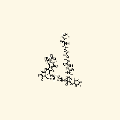 CC[C@@]1(O)C(=O)OCc2c1cc1n(c2=O)Cc2c-1nc1cc(F)c(C)c3c1c2[C@@H](NC(=O)CCCNNC(=O)C(Cc1ccccc1)NC(=O)CNC(=O)CNC(=O)CCOCCOCCNC(=O)CCN)CC3